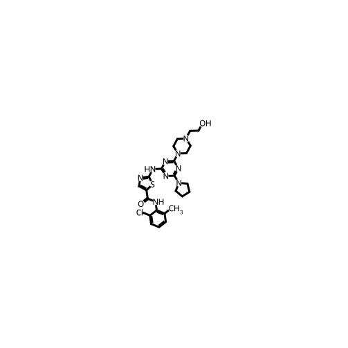 Cc1cccc(Cl)c1NC(=O)c1cnc(Nc2nc(N3CCCC3)nc(N3CCN(CCO)CC3)n2)s1